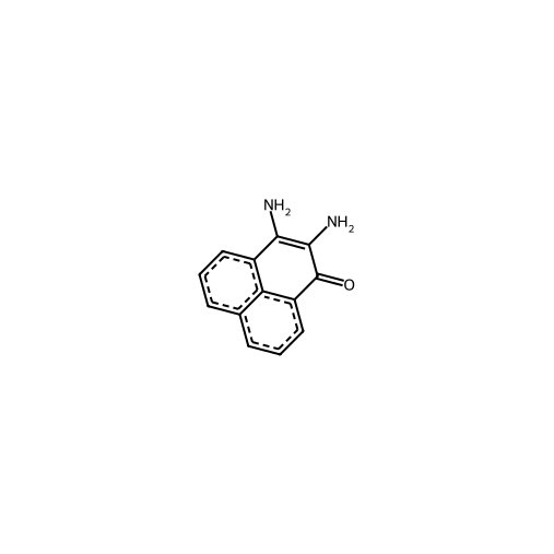 NC1=C(N)c2cccc3cccc(c23)C1=O